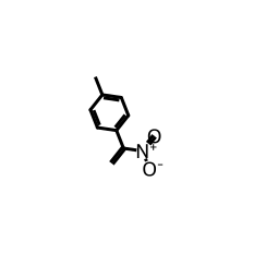 C=C(c1ccc(C)cc1)[N+](=O)[O-]